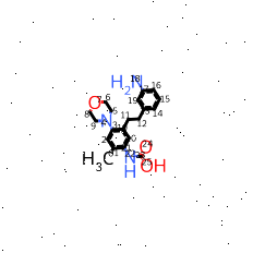 Cc1cc(N2CCOCC2)c(CCc2cccc(N)c2)cc1NC(=O)O